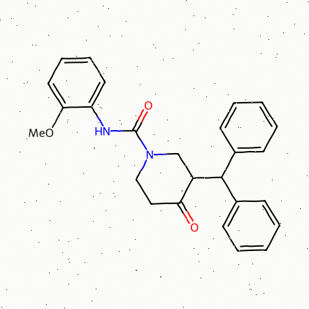 COc1ccccc1NC(=O)N1CCC(=O)C(C(c2ccccc2)c2ccccc2)C1